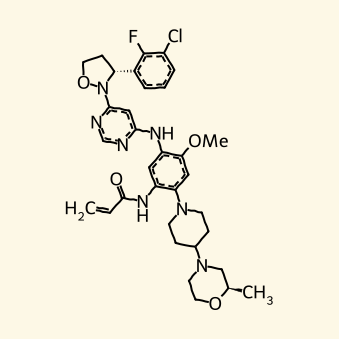 C=CC(=O)Nc1cc(Nc2cc(N3OCC[C@@H]3c3cccc(Cl)c3F)ncn2)c(OC)cc1N1CCC(N2CCO[C@H](C)C2)CC1